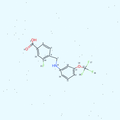 O=C(O)c1ccc(CNc2cccc(OC(F)(F)F)c2)c(F)c1